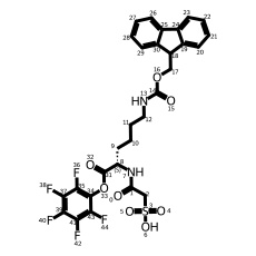 O=C(CS(=O)(=O)O)N[C@@H](CCCCNC(=O)OCC1c2ccccc2-c2ccccc21)C(=O)Oc1c(F)c(F)c(F)c(F)c1F